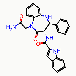 NC(=O)CN1C(=O)[C@@H](NC(=O)c2cc3ccccc3[nH]2)[C@H](c2ccccc2)Nc2ccccc21